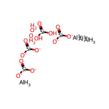 O.O.O=[Si](O)O.O=[Si]([O-])[O-].O=[Si]([O-])[O-].O=[Si]([O-])[O-].[Al+3].[Al+3].[AlH3].[AlH3]